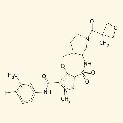 Cc1cc(NC(=O)c2c3c(cn2C)S(=O)(=O)NC2CN(C(=O)C4(C)COC4)CCC2CO3)ccc1F